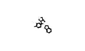 N#Cc1ccc(O[C@@H]2c3ccccc3C[C@H]2N2C[C@H]3CNC[C@H]3C2)cc1Cl